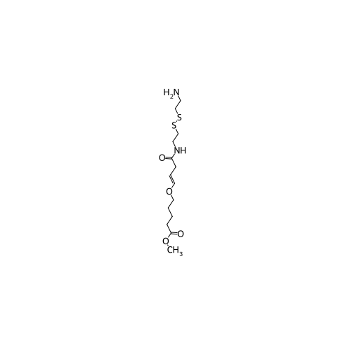 COC(=O)CCCCOC=CCC(=O)NCCSSCCN